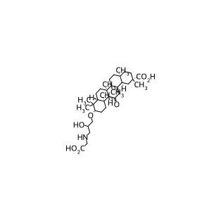 CC1(C)[C@@H](OCC(O)CNCC(=O)O)CC[C@]2(C)[C@H]3C(=O)C=C4[C@@H]5C[C@@](C)(C(=O)O)CC[C@]5(C)CC[C@@]4(C)[C@]3(C)CC[C@@H]12